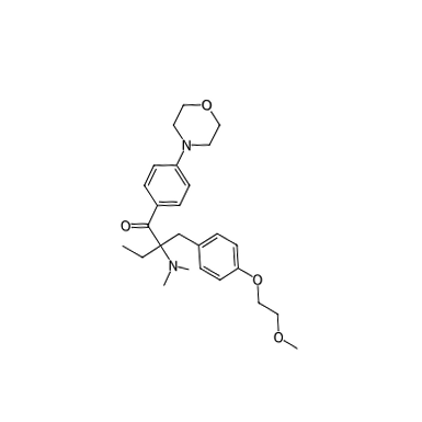 CCC(Cc1ccc(OCCOC)cc1)(C(=O)c1ccc(N2CCOCC2)cc1)N(C)C